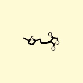 Cc1ccc(CC=C=C2C(=O)COC2=O)s1